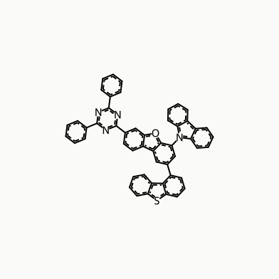 c1ccc(-c2nc(-c3ccccc3)nc(-c3ccc4c(c3)oc3c(-n5c6ccccc6c6ccccc65)cc(-c5cccc6sc7ccccc7c56)cc34)n2)cc1